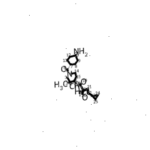 CC1(C)CN(C(=O)[C@H]2CC[C@H](N)CC2)CCC1NC(=O)c1cc(C2CC2)on1